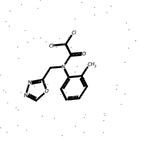 Cc1ccccc1N(Cc1nnco1)C(=O)C(Cl)Cl